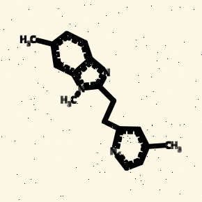 Cc1ccnc(CCc2nc3ccc(C)cc3n2C)c1